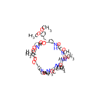 COc1ccc(CC[C@H]2OC(=O)[C@@H]3CCCCN3C(=O)C(=O)C(C)(C)COC(=O)/C=C\CCN(C)C(=O)[C@@H]3CCCN3C(=O)[C@H](C(C)C)N(C)C(=O)[C@@H](Cc3ccccc3)NC(O)[C@H](CC(C)C)N(C)C(=O)CCC(=O)Nc3cccc2c3)cc1OC